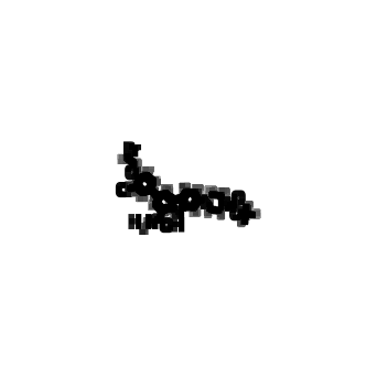 CC(C)(C)OC(=O)N1CCN(c2ccc3c(c2)[nH]c2c(C(N)=O)cc(-c4ccc(OCCBr)c(Cl)c4)cc23)CC1